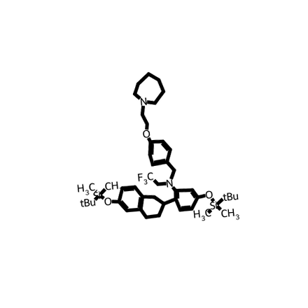 CC(C)(C)[Si](C)(C)Oc1ccc2c(c1)CCC(c1ccc(O[Si](C)(C)C(C)(C)C)cc1N(Cc1ccc(OCCN3CCCCCC3)cc1)CC(F)(F)F)C2